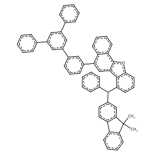 CC1(C)c2ccccc2-c2ccc(N(c3ccccc3)c3cccc4oc5c6ccccc6c(-c6cccc(-c7cc(-c8ccccc8)cc(-c8ccccc8)c7)c6)cc5c34)cc21